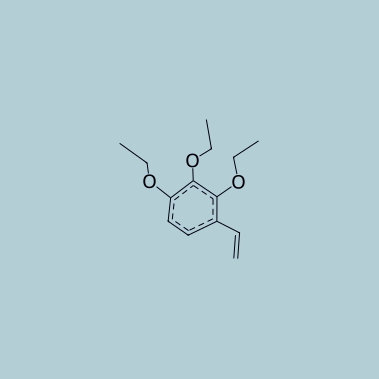 C=Cc1ccc(OCC)c(OCC)c1OCC